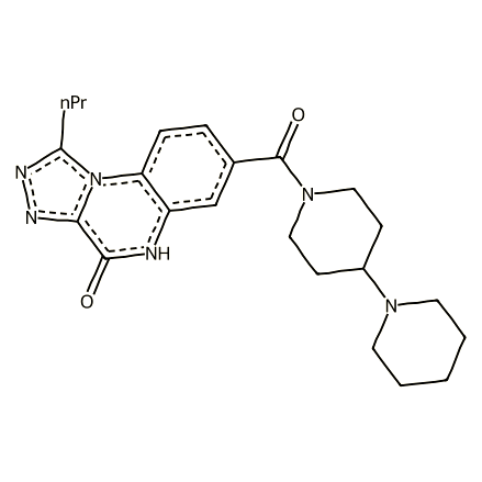 CCCc1nnc2c(=O)[nH]c3cc(C(=O)N4CCC(N5CCCCC5)CC4)ccc3n12